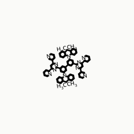 CC1(C)c2ccccc2N(c2cc(-c3cc(-c4nc(-c5cccnc5)cc(-c5ccccn5)n4)cc(N4c5ccccc5C(C)(C)c5ccccc54)c3)cc(-c3nc(-c4cccnc4)cc(-c4ccccn4)n3)c2)c2ccccc21